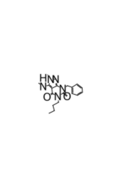 CCCCn1c(=O)c2c(NC)n(C)nc2n(Cc2ccccc2)c1=O